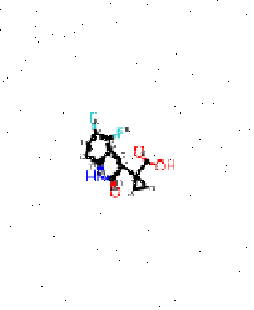 O=C(O)C1(c2cc3c(F)c(F)ccc3[nH]c2=O)CC1